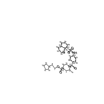 CC1CN(C(=O)OCCC2CCCC2)CCN1C(=O)c1ccc(NS(=O)(=O)c2cccc3cccnc23)cc1